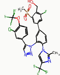 Cc1nc(C(F)(F)F)cn1-c1ccc(-c2cc(F)c(CO)c(S(C)(=O)=O)c2)cc1-n1nncc1-c1ccc(OC(F)(F)F)c(Cl)c1